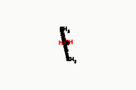 CCCCCCCCCCCCCCCCCCC(CCCCCCCCCCCCCCCCCC)OP(=O)(O)O